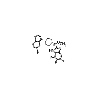 CO[C@@H](c1nc2cc(F)c(F)c(F)c2[nH]1)[C@H]1CC[C@@H](c2ccnc3ccc(F)cc32)CC1